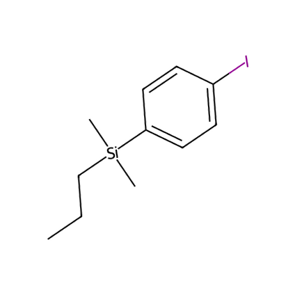 CCC[Si](C)(C)c1ccc(I)cc1